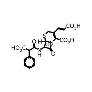 O=C(O)C=CC1=C(C(=O)O)N2C(=O)C(NC(=O)C(C(=O)O)c3ccccc3)[C@@H]2SC1